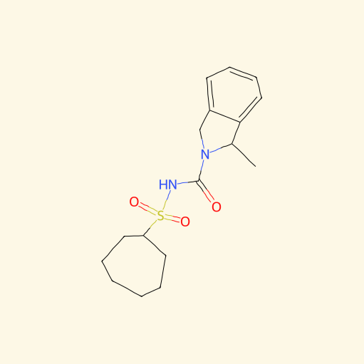 CC1c2ccccc2CN1C(=O)NS(=O)(=O)C1CCCCCC1